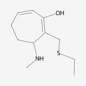 CCSCC1=C(O)C=CCCC1NC